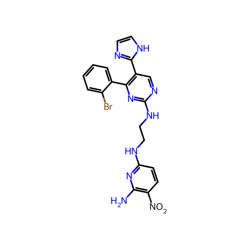 Nc1nc(NCCNc2ncc(-c3ncc[nH]3)c(-c3ccccc3Br)n2)ccc1[N+](=O)[O-]